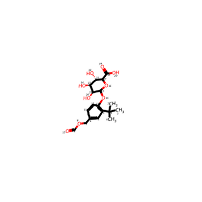 CC(C)(C)c1cc(COC=O)ccc1OC1OC(C(=O)O)[C@@H](O)[C@H](O)[C@@H]1O